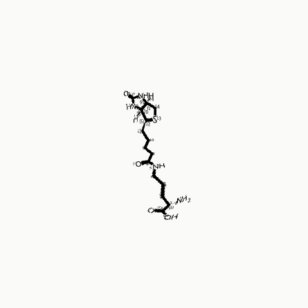 N[C@@H](CCCNC(=O)CCCC[C@@H]1SC[C@@H]2NC(=O)N[C@@H]21)C(=O)O